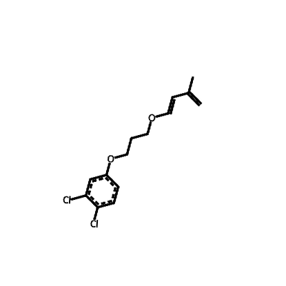 C=C(C)C=COCCCOc1ccc(Cl)c(Cl)c1